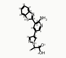 CC(C(=O)O)n1cc(-c2cnc(N)c(-c3nc4ccccc4s3)c2)cn1